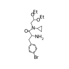 CCOC(CN(C(=O)C(N)Cc1ccc(Br)cc1)C1CC1)OCC